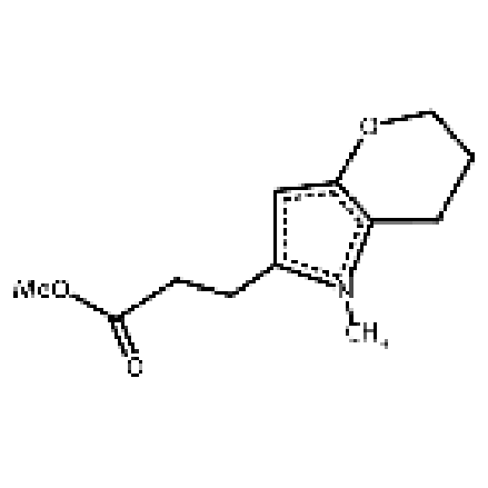 COC(=O)CCc1cc2c(n1C)CCCO2